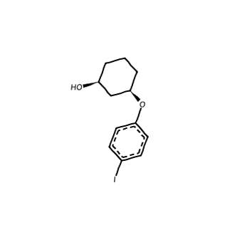 O[C@H]1CCC[C@@H](Oc2ccc(I)cc2)C1